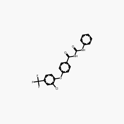 O=C(NC(=O)c1ccc(Oc2ccc(C(F)(F)F)cc2Cl)cc1)Nc1ccccc1